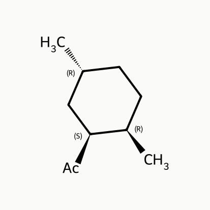 CC(=O)[C@H]1C[C@H](C)CC[C@H]1C